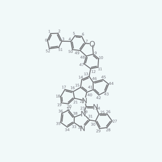 c1ccc(-c2ccc3oc4ccc(-c5cc6c7ccccc7n(-c7nc8ccccc8c8nc9ccccc9n78)c6c6ccccc56)cc4c3c2)cc1